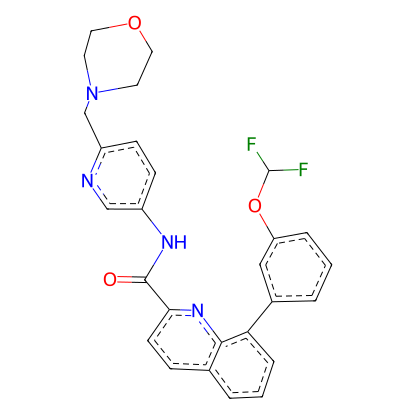 O=C(Nc1ccc(CN2CCOCC2)nc1)c1ccc2cccc(-c3cccc(OC(F)F)c3)c2n1